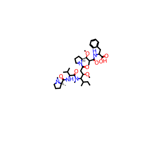 CCC(C)C(C(CC(=O)N1CCC[C@H]1C(OC)C(C)C(=O)NC(Cc1ccccc1)C(=O)O)OC)N(C)C(=O)C(NC(=O)[C@@]1(C)CCCN1C)C(C)C